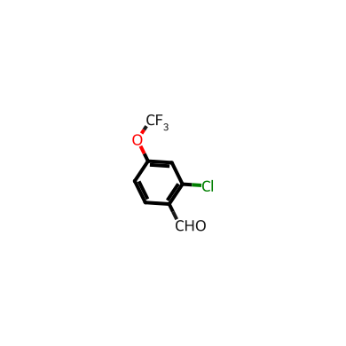 O=Cc1ccc(OC(F)(F)F)cc1Cl